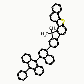 CC1(C)c2cc(-c3ccc(-c4c5ccccc5c(-c5ccccc5)c5ccccc45)c4ccccc34)ccc2-c2ccc3sc4c5ccccc5ccc4c3c21